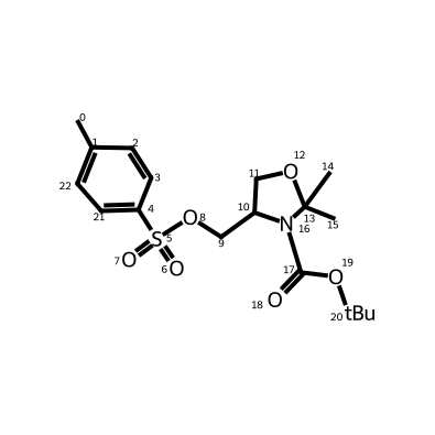 Cc1ccc(S(=O)(=O)OCC2COC(C)(C)N2C(=O)OC(C)(C)C)cc1